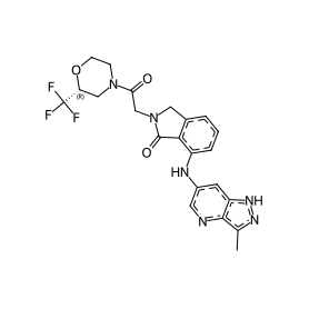 Cc1n[nH]c2cc(Nc3cccc4c3C(=O)N(CC(=O)N3CCO[C@@H](C(F)(F)F)C3)C4)cnc12